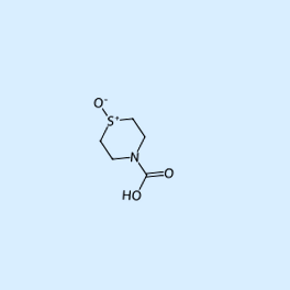 O=C(O)N1CC[S+]([O-])CC1